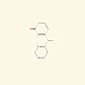 COC1C2=C(Sc3ccccc31)C(=O)CC=C2